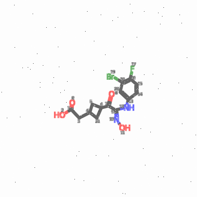 O=C(O)CC1CC(C(=O)/C(=N/O)Nc2ccc(F)c(Br)c2)C1